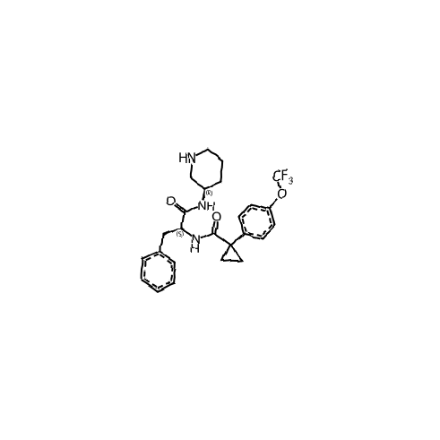 O=C(N[C@@H]1CCCNC1)[C@H](Cc1ccccc1)NC(=O)C1(c2ccc(OC(F)(F)F)cc2)CC1